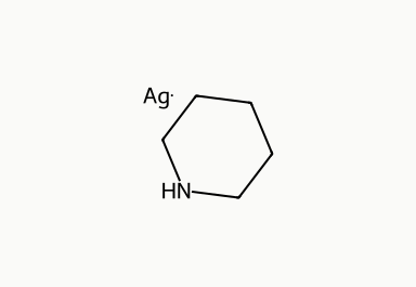 C1CCNCC1.[Ag]